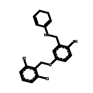 Sc1ccc(OCc2c(Cl)cccc2Cl)cc1CNC1=CCCC=C1